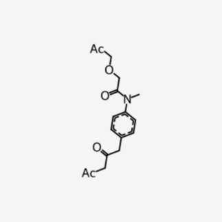 CC(=O)COCC(=O)N(C)c1ccc(CC(=O)CC(C)=O)cc1